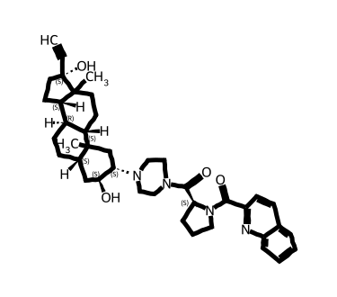 C#C[C@]1(O)CC[C@H]2[C@@H]3CC[C@H]4C[C@H](O)[C@@H](N5CCN(C(=O)[C@@H]6CCCN6C(=O)c6ccc7ccccc7n6)CC5)CC4(C)[C@H]3CCC21C